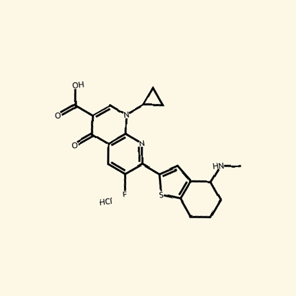 CNC1CCCc2sc(-c3nc4c(cc3F)c(=O)c(C(=O)O)cn4C3CC3)cc21.Cl